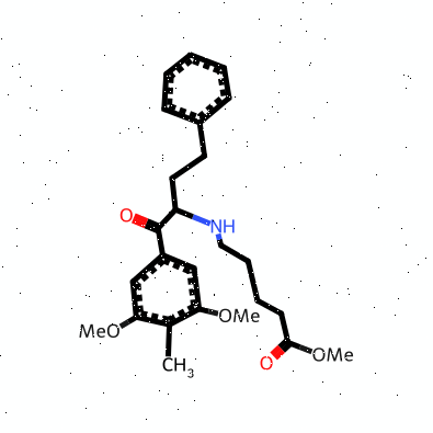 COC(=O)CCCCNC(CCc1ccccc1)C(=O)c1cc(OC)c(C)c(OC)c1